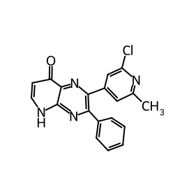 Cc1cc(-c2nc3c(=O)cc[nH]c3nc2-c2ccccc2)cc(Cl)n1